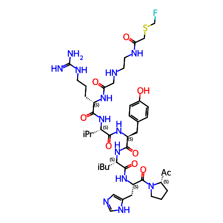 CCC(C)[C@H](NC(=O)[C@H](Cc1ccc(O)cc1)NC(=O)[C@@H](NC(=O)[C@H](CCCNC(=N)N)NC(=O)CNCCNC(=O)CSCF)C(C)C)C(=O)N[C@@H](Cc1cnc[nH]1)C(=O)N1CCC[C@H]1C(C)=O